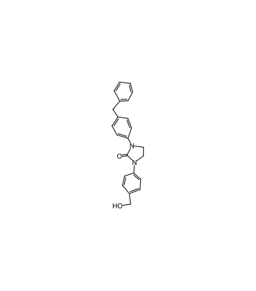 O=C1N(c2ccc(CO)cc2)CCN1c1ccc(Cc2ccccc2)cc1